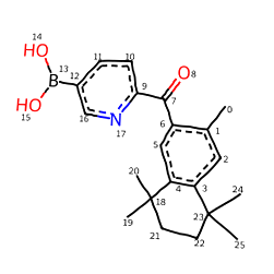 Cc1cc2c(cc1C(=O)c1ccc(B(O)O)cn1)C(C)(C)CCC2(C)C